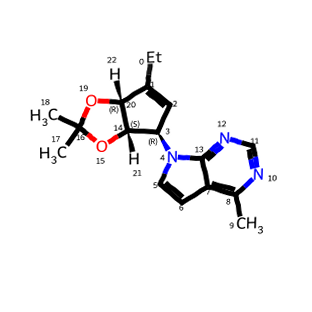 [CH2]CC1=C[C@@H](n2ccc3c(C)ncnc32)[C@@H]2OC(C)(C)O[C@H]12